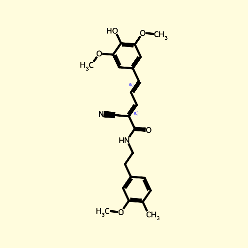 COc1cc(CCNC(=O)/C(C#N)=C/C=C/c2cc(OC)c(O)c(OC)c2)ccc1C